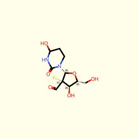 O=C[C@]1(F)[C@H](O)[C@@H](CO)O[C@H]1N1CCC(O)NC1=O